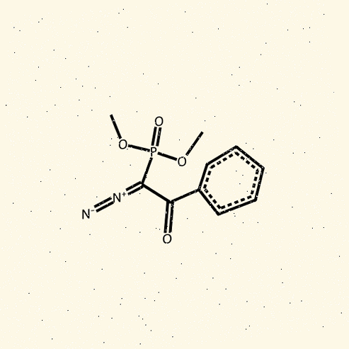 COP(=O)(OC)C(=[N+]=[N-])C(=O)c1ccccc1